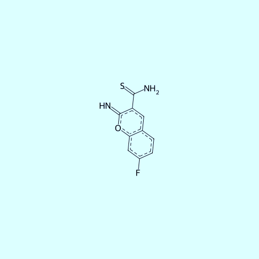 N=c1oc2cc(F)ccc2cc1C(N)=S